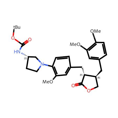 COc1ccc(C[C@H]2COC(=O)[C@@H]2Cc2ccc(N3CC[C@H](NC(=O)OC(C)(C)C)C3)c(OC)c2)cc1OC